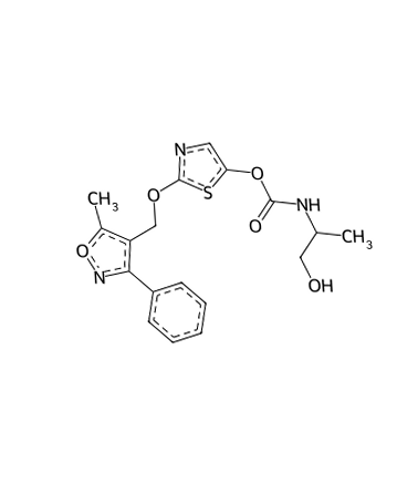 Cc1onc(-c2ccccc2)c1COc1ncc(OC(=O)NC(C)CO)s1